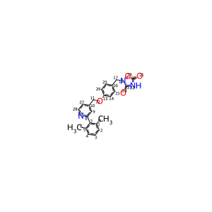 Cc1cccc(C)c1-c1cc(COc2ccc(Cn3oc(=O)[nH]c3=O)cc2)ccn1